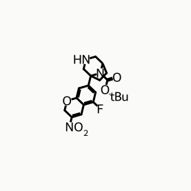 CC(C)(C)OC(=O)N1C2CCC1(c1cc(F)c3c(c1)OCC([N+](=O)[O-])=C3)CNC2